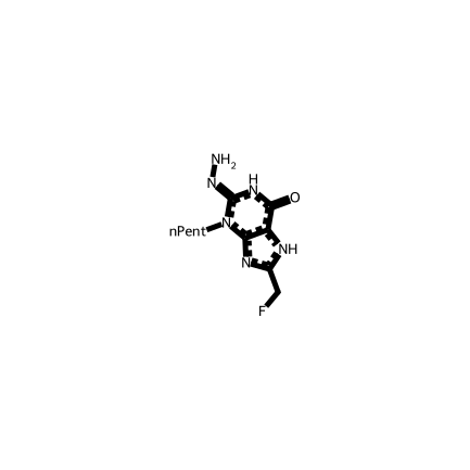 CCCCCn1/c(=N/N)[nH]c(=O)c2[nH]c(CF)nc21